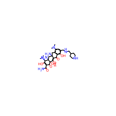 CN(C)c1cc(CNCC2CCNCC2)c(O)c2c1C[C@@]1(N)C[C@@]3(N)C(N(C)C)C(O)=C(C(N)=O)C(=O)[C@@]3(O)C(O)=C1C2=O